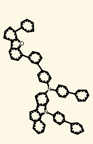 c1ccc(-c2ccc(N(c3ccc(-c4cccc(-c5cccc6c5oc5c(-c7ccccc7)cccc56)c4)cc3)c3ccc4c5ccc6ccccc6c5n(-c5ccc(-c6ccccc6)cc5)c4c3)cc2)cc1